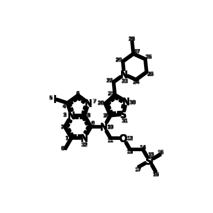 Cc1cn2c(I)cnc2c(N(COCC[Si](C)(C)C)c2cc(CN3CCCC(C)C3)ns2)n1